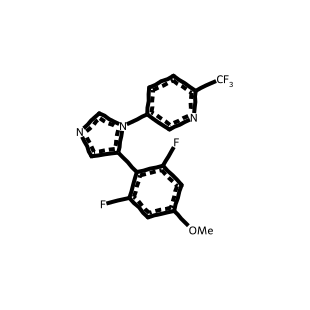 COc1cc(F)c(-c2cncn2-c2ccc(C(F)(F)F)nc2)c(F)c1